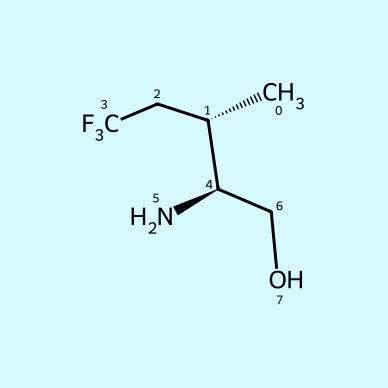 C[C@@H](CC(F)(F)F)[C@H](N)CO